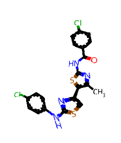 Cc1nc(NC(=O)c2ccc(Cl)cc2)sc1-c1csc(Nc2ccc(Cl)cc2)n1